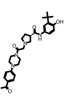 CC(=O)c1ccc(N2CCN(C(=O)CN3CC[C@@H](C(=O)Nc4ccc(O)c(C(C)(C)C)c4)C3)CC2)cc1